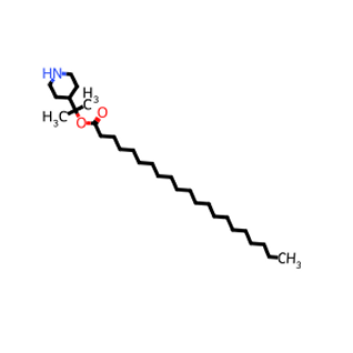 CCCCCCCCCCCCCCCCCCCCC(=O)OC(C)(C)C1CCNCC1